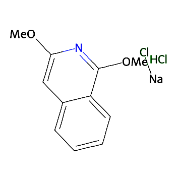 COc1cc2ccccc2c(OC)n1.Cl.[Na][Cl]